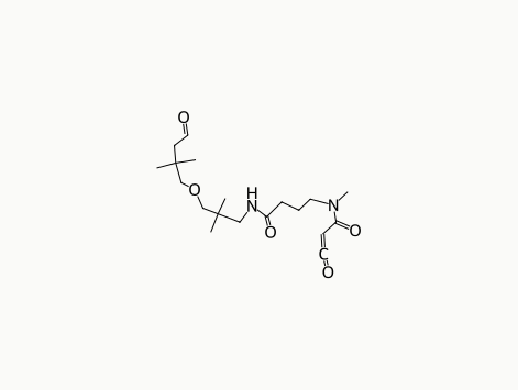 CN(CCCC(=O)NCC(C)(C)COCC(C)(C)CC=O)C(=O)C=C=O